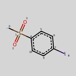 [CH2]S(=O)(=O)c1ccc(I)cc1